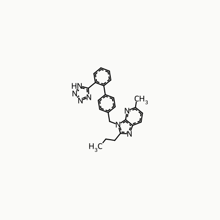 CCCc1nc2ccc(C)nc2n1Cc1ccc(-c2ccccc2-c2nnn[nH]2)cc1